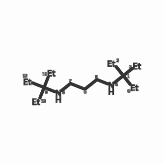 CCC(CC)(CC)NCCCNC(CC)(CC)CC